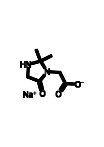 CC1(C)NCC(=O)N1CC(=O)[O-].[Na+]